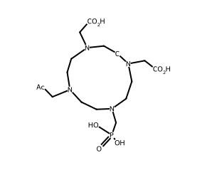 CC(=O)CN1CCN(CC(=O)O)CCN(CC(=O)O)CCN(CP(=O)(O)O)CC1